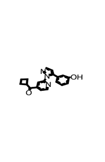 O=C(c1ccnc(-n2nccc2-c2cccc(O)c2)c1)C1CCC1